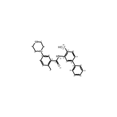 Cc1ccc(N2CCSCC2)cc1C(=O)Nc1cc(-c2ccccc2)ccc1C(=O)O